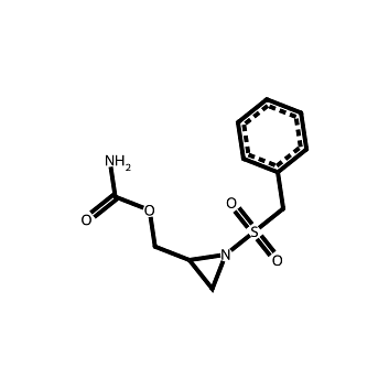 NC(=O)OCC1CN1S(=O)(=O)Cc1ccccc1